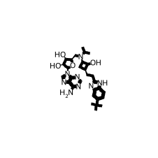 CC(C)N(C[C@H]1O[C@@H](n2cnc3c(N)ncnc32)[C@H](O)[C@@H]1O)[C@@H]1C[C@H](CCc2nc3cc(C(C)(C)C)ccc3[nH]2)C1O